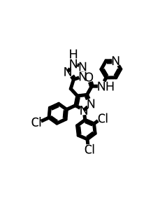 O=C(Nc1ccncc1)c1nn(-c2ccc(Cl)cc2Cl)c(-c2ccc(Cl)cc2)c1Cc1nn[nH]n1